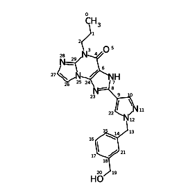 CCCn1c(=O)c2[nH]c(-c3cnn(Cc4cccc(CO)c4)c3)nc2n2ccnc12